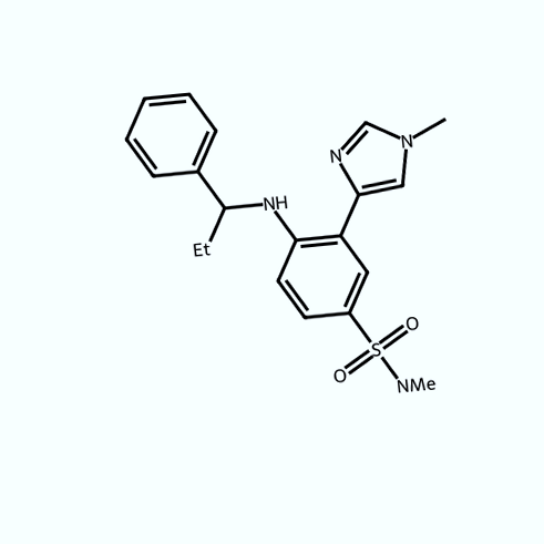 CCC(Nc1ccc(S(=O)(=O)NC)cc1-c1cn(C)cn1)c1ccccc1